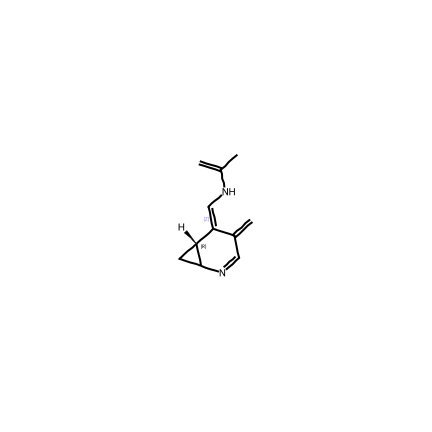 C=C(C)N/C=C1\C(=C)C=NC2C[C@H]12